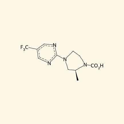 C[C@H]1CN(c2ncc(C(F)(F)F)cn2)CCN1C(=O)O